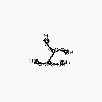 CC1(C)CC(OCCCOc2cc(CCCCCCc3cc(OCCCOC4CC(C)(C)NC(C)(C)C4)cc(OCCCOC4CC(C)(C)NC(C)(C)C4)c3)cc(OCCCOC3CC(C)(C)NC(C)(C)C3)c2)CC(C)(C)N1